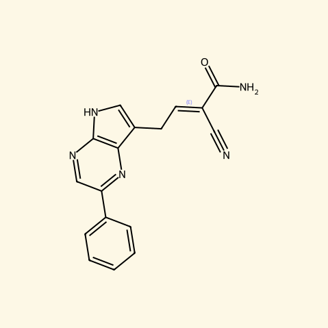 N#C/C(=C\Cc1c[nH]c2ncc(-c3ccccc3)nc12)C(N)=O